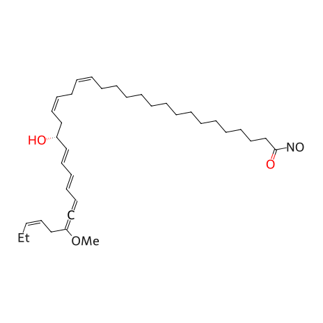 CC/C=C\CC(=C=C/C=C/C=C/[C@H](O)C/C=C\C/C=C\CCCCCCCCCCCCCCC(=O)N=O)OC